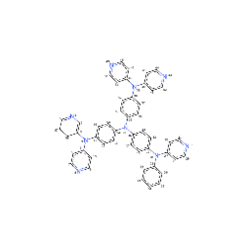 C1=NC=C(N(c2ccncc2)c2ccc(N(c3ccc(N(c4ccccc4)c4ccncc4)cc3)c3ccc(N(c4ccncc4)c4ccncc4)cc3)cc2)CC1